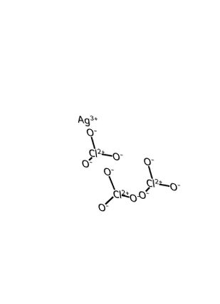 [Ag+3].[O-][Cl+2]([O-])[O-].[O-][Cl+2]([O-])[O-].[O-][Cl+2]([O-])[O-]